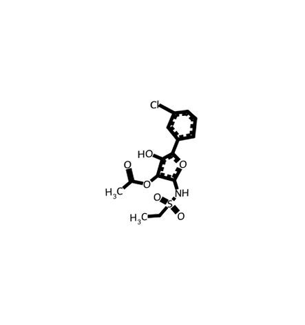 CCS(=O)(=O)Nc1oc(-c2cccc(Cl)c2)c(O)c1OC(C)=O